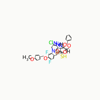 COc1ccc(COc2c(F)cc(CO[C@H]3[C@@H](S)O[C@@H]4COC(c5ccccc5)O[C@@H]4C3(N=[N+]=[N-])c3cc(Cl)cnc3Br)cc2F)cc1